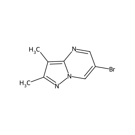 Cc1nn2cc(Br)cnc2c1C